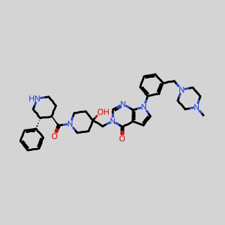 CN1CCN(Cc2cccc(-n3ccc4c(=O)n(CC5(O)CCN(C(=O)[C@@H]6CCNC[C@H]6c6ccccc6)CC5)cnc43)c2)CC1